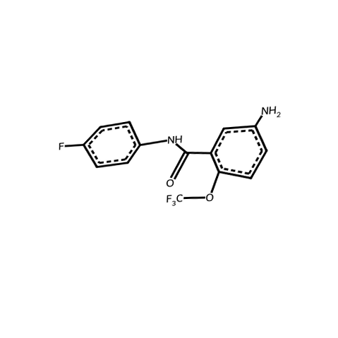 Nc1ccc(OC(F)(F)F)c(C(=O)Nc2ccc(F)cc2)c1